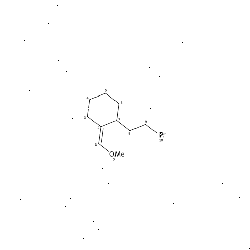 CO/C=C1/CCCCC1CCC(C)C